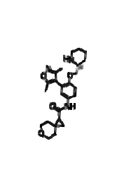 Cc1noc(C)c1-c1cc(NC(=O)C2CC23CCOCC3)ccc1OC[C@H]1CCCCN1